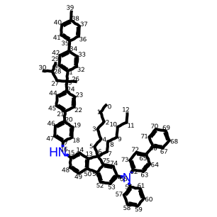 CCCCCCC1(CCCCCC)c2cc(Nc3ccc(-c4ccc(C(C)(CC(C)C)c5ccc(-c6ccc(C)cc6)cc5)cc4)cc3)ccc2-c2ccc(N(c3ccccc3)c3ccc(-c4ccccc4)cc3)cc21